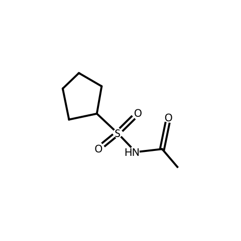 CC(=O)NS(=O)(=O)C1CCCC1